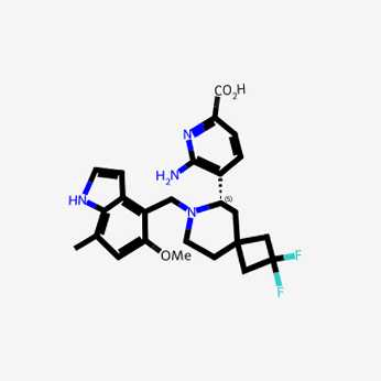 COc1cc(C)c2[nH]ccc2c1CN1CCC2(C[C@H]1c1ccc(C(=O)O)nc1N)CC(F)(F)C2